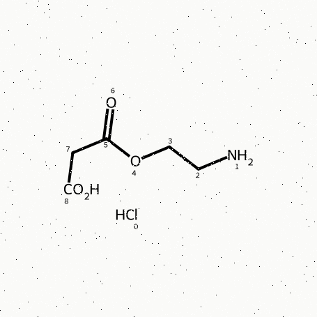 Cl.NCCOC(=O)CC(=O)O